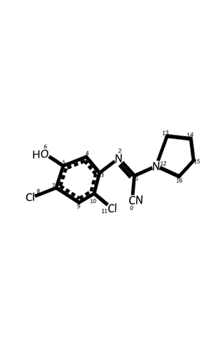 N#CC(=Nc1cc(O)c(Cl)cc1Cl)N1CCCC1